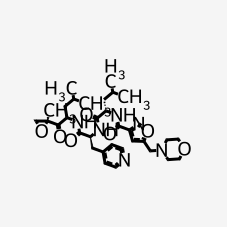 CC(C)CC(NC(=O)[C@H](Cc1ccncc1)NC(=O)[C@H](CC(C)C)NC(=O)c1cc(CN2CCOCC2)on1)C(=O)[C@@]1(C)CO1